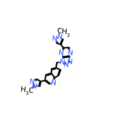 Cn1cc(-c2cnc3ccc(Cn4nnc5ncc(-c6cnn(C)c6)nc54)cc3c2)cn1